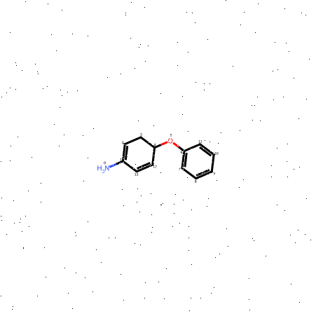 NC1=CCC(Oc2ccccc2)C=C1